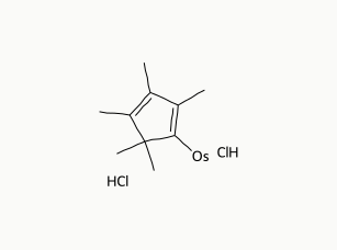 CC1=C(C)C(C)(C)[C]([Os])=C1C.Cl.Cl